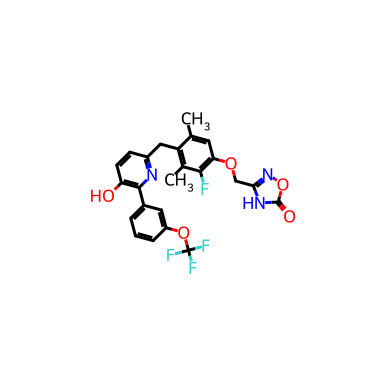 Cc1cc(OCc2noc(=O)[nH]2)c(F)c(C)c1Cc1ccc(O)c(-c2cccc(OC(F)(F)F)c2)n1